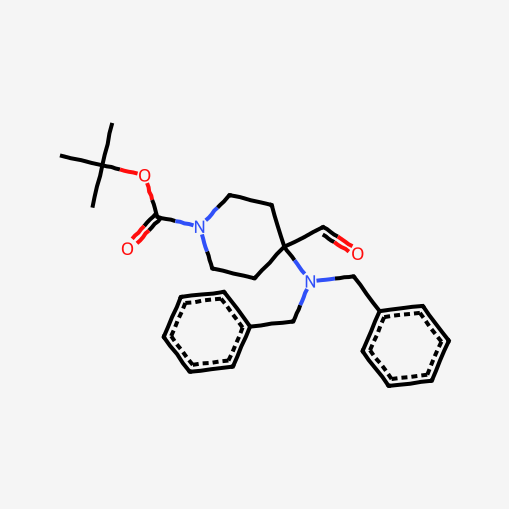 CC(C)(C)OC(=O)N1CCC(C=O)(N(Cc2ccccc2)Cc2ccccc2)CC1